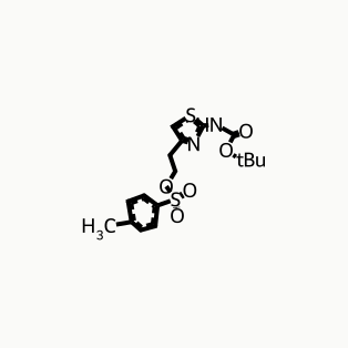 Cc1ccc(S(=O)(=O)OCCc2csc(NC(=O)OC(C)(C)C)n2)cc1